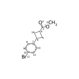 COC(=O)C1CC(c2ccc(Br)cc2)C1